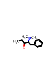 CCC(=O)C(Cc1ccccc1)N(C)C